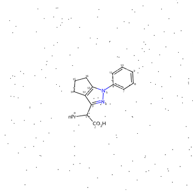 CCCC(C(=O)O)c1nn(-c2ccccc2)c2c1CCC2